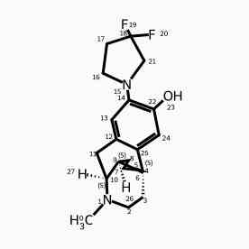 CN1CC[C@@]23CCCC[C@@H]2[C@@H]1Cc1cc(N2CCC(F)(F)C2)c(O)cc13